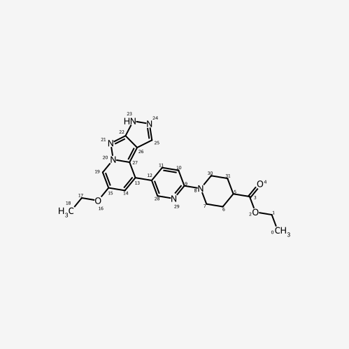 CCOC(=O)C1CCN(c2ccc(-c3cc(OCC)cn4nc5[nH]ncc5c34)cn2)CC1